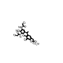 CCC1(C(=O)O)Cc2cc(C(C)c3cc(NC(=O)CCl)c(O)c(NC(=O)CCl)c3)c(Cl)c(Cl)c2O1